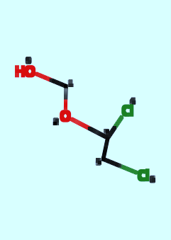 OCOC(Cl)CCl